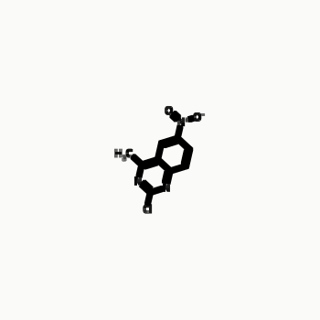 Cc1nc(Cl)nc2ccc([N+](=O)[O-])cc12